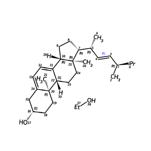 CC(C)[C@@H](C)/C=C/[C@@H](C)[C@H]1CC[C@H]2C3=CC=C4C[C@@H](O)CC[C@]4(C)[C@H]3CC[C@]12C.CCO